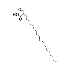 CCCCCCCCCCCCCCCCCCC=C(C=O)C(=O)O